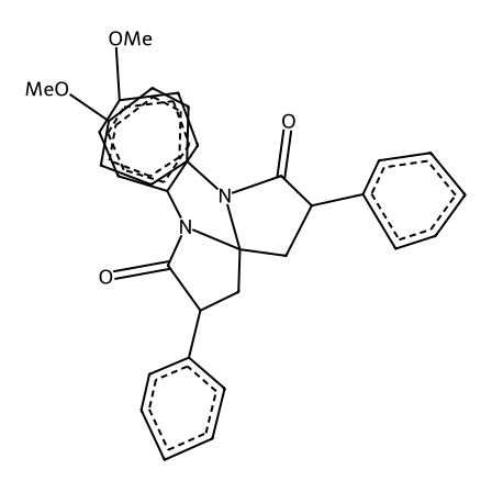 COc1ccc(N2C(=O)C(c3ccccc3)CC23CC(c2ccccc2)C(=O)N3c2ccc(OC)cc2)cc1